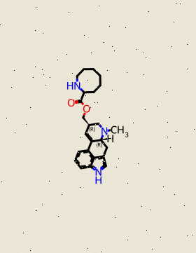 CN1C[C@H](COC(=O)C2CCCCCCN2)C=C2c3cccc4[nH]cc(c34)C[C@H]21